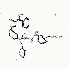 CN(C(=O)COc1cccc(N(CCC2CCCCC2)C(=O)CNC(=O)Nc2cccc(CC(=O)O)c2)c1)c1ccccc1